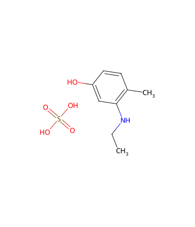 CCNc1cc(O)ccc1C.O=S(=O)(O)O